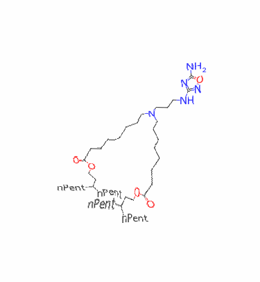 CCCCCC(CCCCC)CCOC(=O)CCCCCCCN(CCCCCCCC(=O)OCCC(CCCCC)CCCCC)CCCNc1noc(N)n1